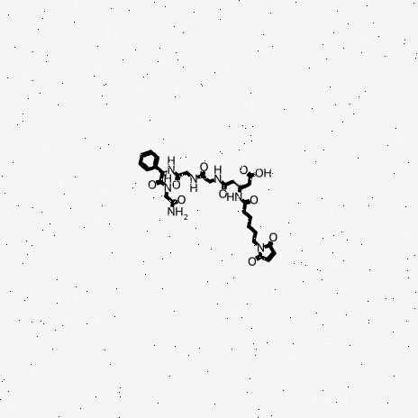 NC(=O)CNC(=O)[C@@H](NC(=O)CNC(=O)CNC(=O)C[C@@H](CC(=O)O)NC(=O)CCCCCN1C(=O)C=CC1=O)c1ccccc1